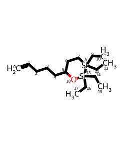 C=CCCCC1CC[Si](CC)(CC)[Si](CC)(CC)O1